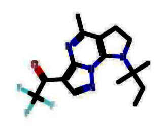 CCC(C)(C)N1CCc2c(C)nc3c(C(=O)C(F)(F)F)cnn3c21